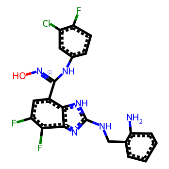 Nc1ccccc1CNc1nc2c(F)c(F)cc(/C(=N\O)Nc3ccc(F)c(Cl)c3)c2[nH]1